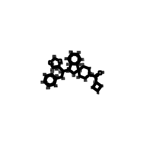 O=C(C1CCC1)N1CCC2(CC1)CN(C(Cc1ccccc1)C1=COCO1)c1ccccc12